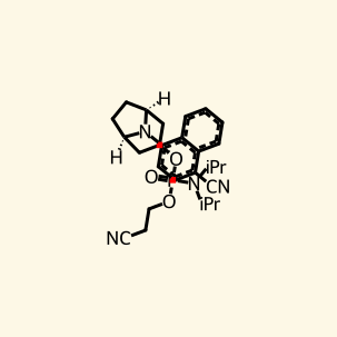 CC(C)N(C(C)C)P(=O)(OCCC#N)O[C@H]1C[C@H]2CC[C@@H](C1)N2c1ccc(C#N)c2ccccc12